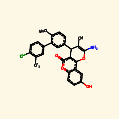 COc1ccc(C2C(C#N)=C(N)Oc3c2c(=O)oc2ccc(O)cc32)cc1-c1ccc(Cl)c(C(F)(F)F)c1